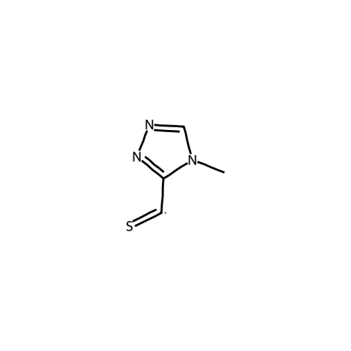 Cn1cnnc1[C]=S